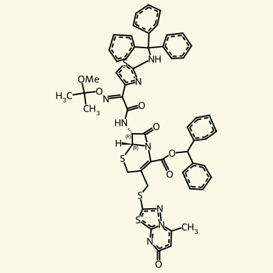 COC(C)(C)ON=C(C(=O)N[C@@H]1C(=O)N2C(C(=O)OC(c3ccccc3)c3ccccc3)=C(CSc3nn4c(C)cc(=O)nc4s3)CS[C@H]12)c1csc(NC(c2ccccc2)(c2ccccc2)c2ccccc2)n1